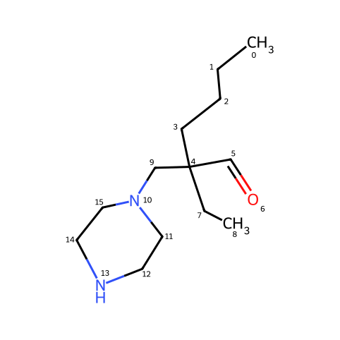 CCCCC(C=O)(CC)CN1CCNCC1